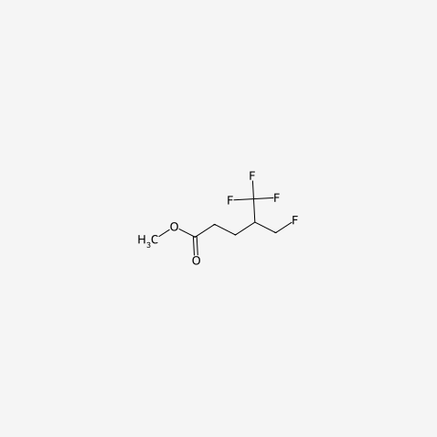 COC(=O)CCC(CF)C(F)(F)F